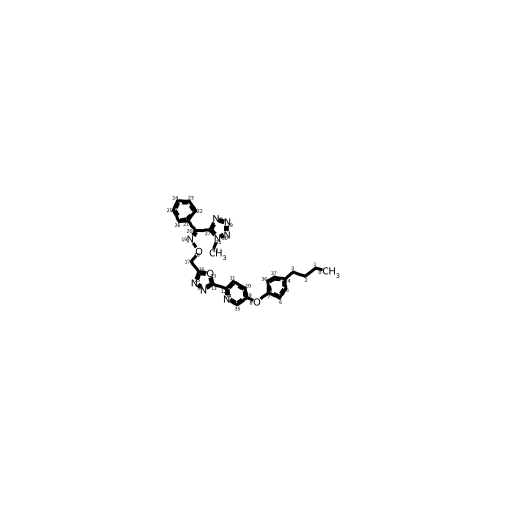 CCCCc1ccc(Oc2ccc(-c3nnc(CO/N=C(/c4ccccc4)c4nnnn4C)o3)nc2)cc1